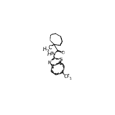 CC1(C(=O)Nc2nc3ccc(C(F)(F)F)cc3s2)CCCCCC1